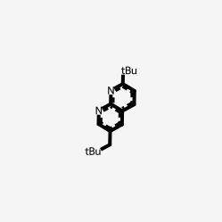 CC(C)(C)Cc1cnc2nc(C(C)(C)C)ccc2c1